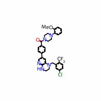 COc1ccccc1N1CCN(C(=O)c2ccc(-c3cnc4c(c3)N(Cc3cc(Cl)ccc3C(F)(F)F)CCN4)cc2)CC1